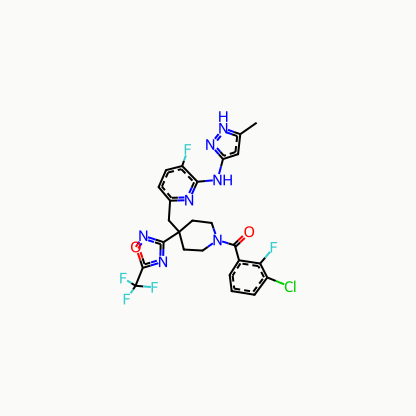 Cc1cc(Nc2nc(CC3(c4noc(C(F)(F)F)n4)CCN(C(=O)c4cccc(Cl)c4F)CC3)ccc2F)n[nH]1